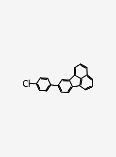 Clc1ccc(-c2ccc3c(c2)-c2cccc4cccc-3c24)cc1